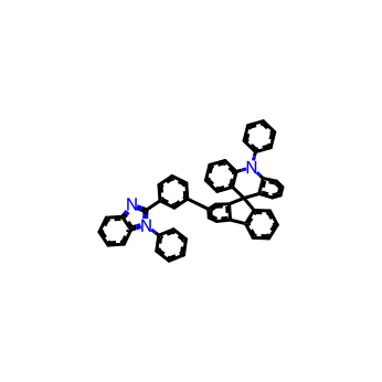 c1ccc(N2c3ccccc3C3(c4ccccc4-c4ccc(-c5cccc(-c6nc7ccccc7n6-c6ccccc6)c5)cc43)c3ccccc32)cc1